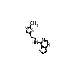 Cc1ncc(CCNc2ncnc3ccsc23)s1